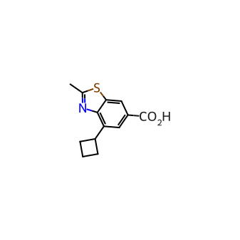 Cc1nc2c(C3CCC3)cc(C(=O)O)cc2s1